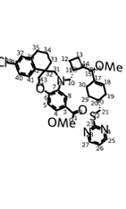 COC(=O)c1ccc2c(c1)N(C[C@@H]1CC[C@H]1[C@@H](OC)C1=CC[C@H](CSc3ncccn3)CC1)CC1(CCCc3cc(Cl)ccc31)CO2